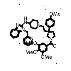 COc1ccc(C2(CCN3CCC(Nc4nc5ccccc5n4Cc4ccccn4)CC3)CCN(C(=O)c3cc(OC)c(OC)c(OC)c3)C2)cc1